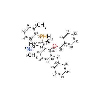 C/N=C/c1cccc(C)c1PC(C)(C)c1cccc(Cc2ccccc2)c1OCc1ccccc1